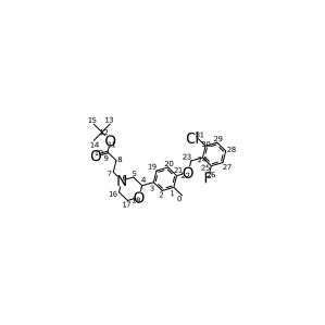 Cc1cc(C2CN(CCC(=O)OC(C)(C)C)CCO2)ccc1OCc1c(F)cccc1Cl